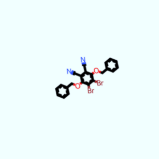 N#Cc1c(C#N)c(OCc2ccccc2)c(Br)c(Br)c1OCc1ccccc1